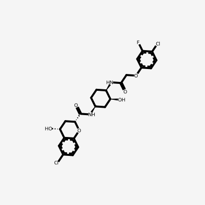 O=C(COc1ccc(Cl)c(F)c1)N[C@@H]1CC[C@H](NC(=O)[C@H]2C[C@@H](O)c3cc(Cl)ccc3O2)C[C@@H]1O